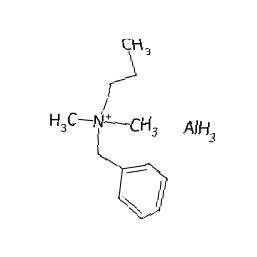 CCC[N+](C)(C)Cc1ccccc1.[AlH3]